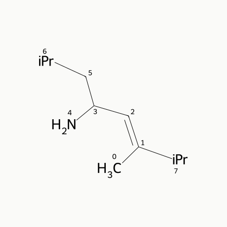 C/C(=C\C(N)CC(C)C)C(C)C